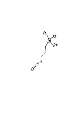 CC(C)[Si](Cl)(CCCN=C=O)C(C)C